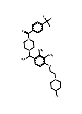 Cc1c(OCCN2CCC(C)CC2)ccc(C(C)N2CCN(C(=O)c3ccc(C(F)(F)F)cc3)CC2)c1C